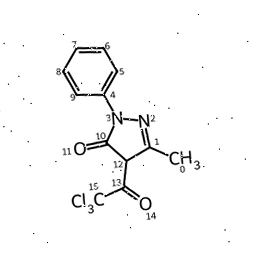 CC1=NN(c2ccccc2)C(=O)C1C(=O)C(Cl)(Cl)Cl